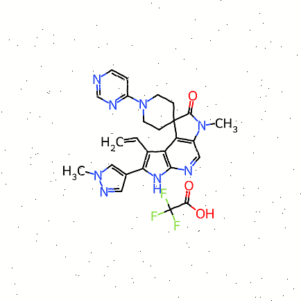 C=Cc1c(-c2cnn(C)c2)[nH]c2ncc3c(c12)C1(CCN(c2ccncn2)CC1)C(=O)N3C.O=C(O)C(F)(F)F